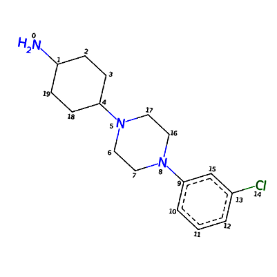 NC1CCC(N2CCN(c3cccc(Cl)c3)CC2)CC1